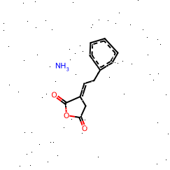 N.O=C1CC(=CCc2ccccc2)C(=O)O1